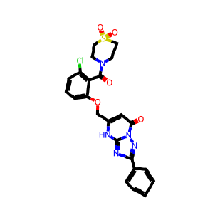 O=C(c1c(Cl)cccc1OCc1cc(=O)n2nc(-c3ccccc3)nc2[nH]1)N1CCS(=O)(=O)CC1